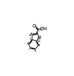 O=C(O)C1=Nc2ccccc2[N]1